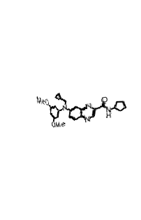 COc1cc(OC)cc(N(CC2CC2)c2ccc3ncc(C(=O)NC4CCCC4)nc3c2)c1